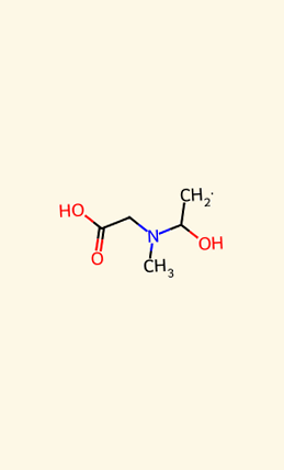 [CH2]C(O)N(C)CC(=O)O